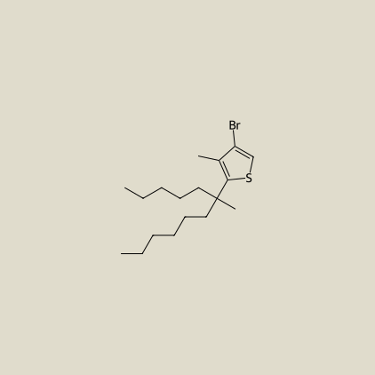 CCCCCCC(C)(CCCCC)c1scc(Br)c1C